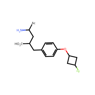 CC(=O)C(N)CC(Cc1ccc(OC2CC([18F])C2)cc1)C(=O)O